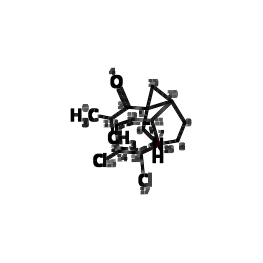 CC(C)C(=O)C12CNCCC1(c1ccc(Cl)c(Cl)c1)C2